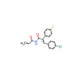 C=CC(=O)NC(=O)/C(=C/c1ccc(Cl)cc1)c1ccc(F)cc1